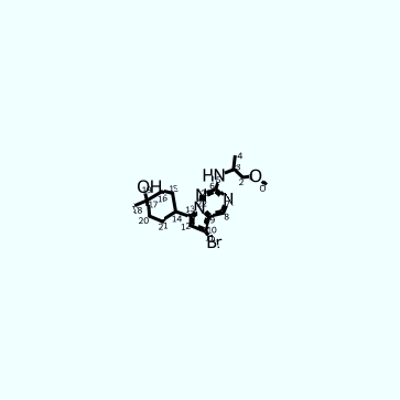 COCC(C)Nc1ncc2c(Br)cc(C3CCC(C)(O)CC3)n2n1